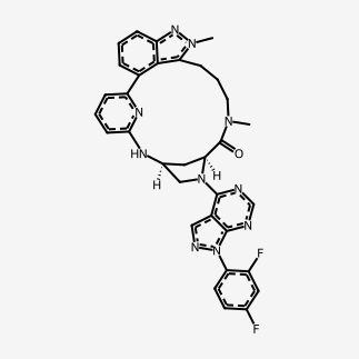 CN1CCCc2c3c(cccc3nn2C)-c2cccc(n2)N[C@H]2C[C@@H](C1=O)N(c1ncnc3c1cnn3-c1ccc(F)cc1F)C2